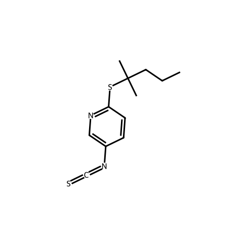 CCCC(C)(C)Sc1ccc(N=C=S)cn1